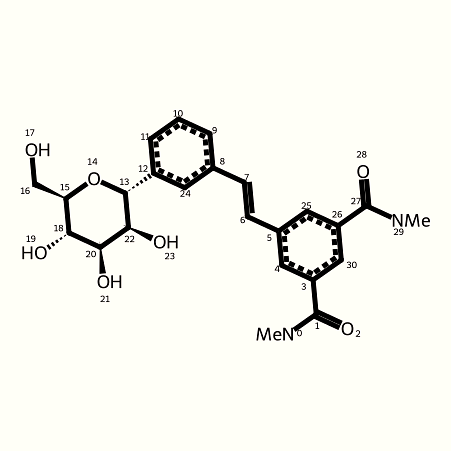 CNC(=O)c1cc(C=Cc2cccc([C@H]3O[C@H](CO)[C@@H](O)[C@H](O)[C@@H]3O)c2)cc(C(=O)NC)c1